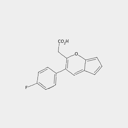 O=C(O)Cc1oc2cccc-2cc1-c1ccc(F)cc1